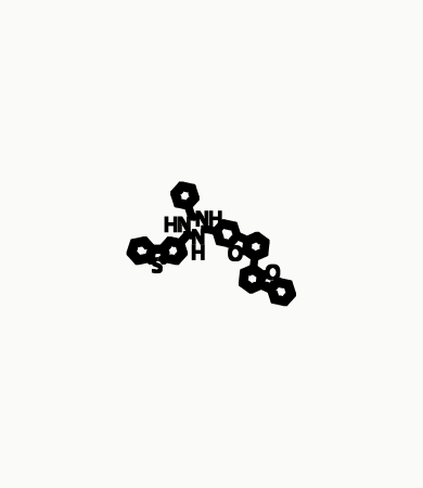 C1=CC2c3cccc(-c4cccc5c4oc4ccccc45)c3OC2C=C1C1NC(c2ccccc2)NC(c2ccc3sc4ccccc4c3c2)N1